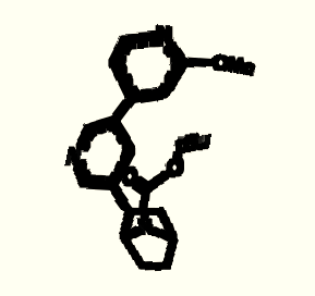 COc1cc(-c2cncc(C3CC4CCC3N4C(=O)OC(C)(C)C)c2)ccn1